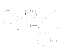 CC(C)(C)[C@]1(c2ccc(F)cc2)c2ccccc2CCN1C(=O)[C@@H]1OCCN[C@H]1CF